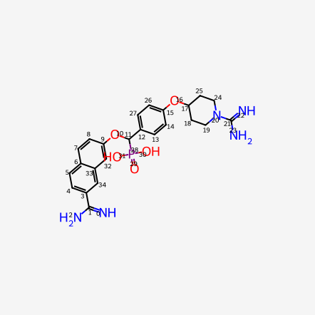 N=C(N)c1ccc2ccc(OC(c3ccc(OC4CCN(C(=N)N)CC4)cc3)P(=O)(O)O)cc2c1